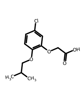 CC(C)COc1ccc(Cl)cc1OCC(=O)O